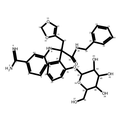 N=C(N)c1cccc(NC(CC2=COCO2)(C(=O)NCc2ccccc2)c2ccccc2OC2OC(CO)C(O)C(O)C2O)c1